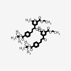 CCOC(=O)c1cc(C(=O)/C=C/c2ccc(C(=O)OC(C)(C)C)cc2)cc(C)n1.CCOC(=O)c1cc(C(O)CCc2ccc(C(=O)OC(C)(C)C)cc2)cc(C)n1